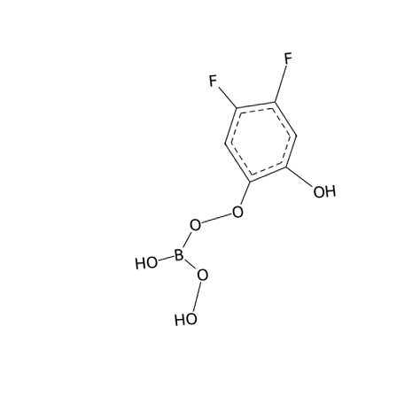 OOB(O)OOc1cc(F)c(F)cc1O